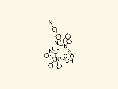 CC1(Cc2ccccc2)C(/C(C#N)=C/C(Cl)=C/C(C#N)=C2\N(CCOC=O)c3ccccc3C2(Cc2ccccc2)Cc2ccc(-c3ccc(C#N)cc3)cc2)=[N+](CCC(=O)O)c2c1c1ccccc1c1ccccc21